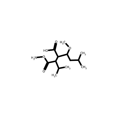 COC(CC(C)C)C(C(=O)O)C(C(=O)ON)C(C)C